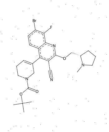 CN1CCC[C@H]1COc1nc2c(F)c(Br)ccc2c(C2=CCCN(C(=O)OC(C)(C)C)C2)c1C#N